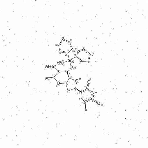 CSS[C@H](C)OC1C[C@H](n2cc(C)c(=O)[nH]c2=O)O[C@@H]1CO[Si](c1ccccc1)(c1ccccc1)C(C)(C)C